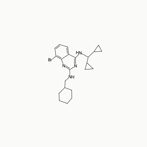 Brc1cccc2c(NC(C3CC3)C3CC3)nc(NCC3CCCCC3)nc12